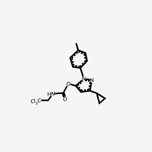 Cc1ccc(-n2nc(C3CC3)cc2OC(=O)NCC(Cl)(Cl)Cl)cc1